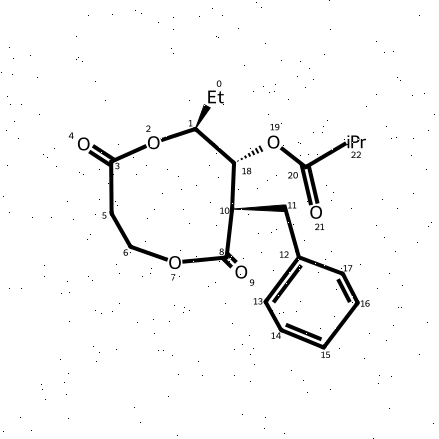 CC[C@@H]1OC(=O)CCOC(=O)[C@H](Cc2ccccc2)[C@H]1OC(=O)C(C)C